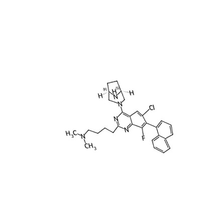 CN(C)CCCCc1nc(N2C[C@H]3CC[C@@H](C2)N3)c2cc(Cl)c(-c3cccc4ccccc34)c(F)c2n1